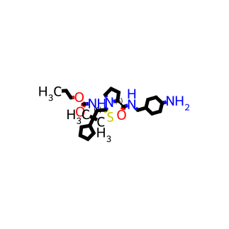 CCCOC(=O)N[C@H](C(=S)N1CCC[C@H]1C(=O)NCC1CCC(N)CC1)C(C)(C)C1CCCC1